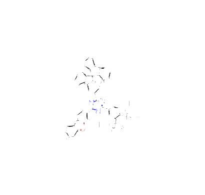 CC1(C)CCC(C)(C)c2cc(-c3nc(C4=CCC(C5(c6ccccc6)c6ccccc6-c6ccccc65)C=C4)nc(C4=CC5Oc6ccccc6C5C=C4)n3)ccc21